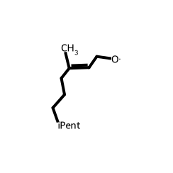 CCCC(C)CCCC(C)=CC[O]